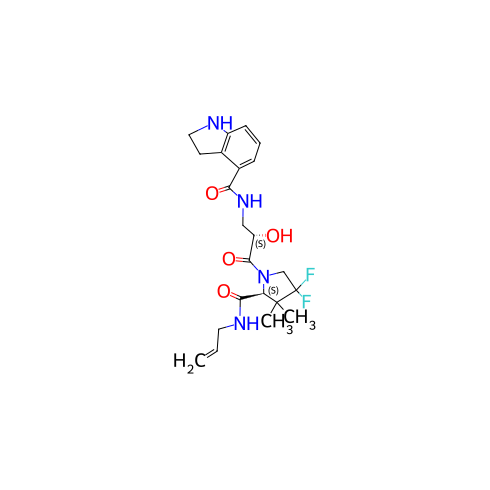 C=CCNC(=O)[C@H]1N(C(=O)[C@@H](O)CNC(=O)c2cccc3c2CCN3)CC(F)(F)C1(C)C